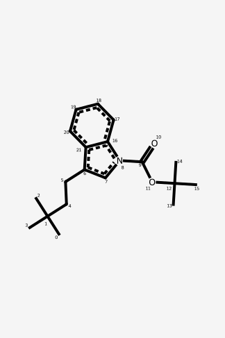 CC(C)(C)CCc1cn(C(=O)OC(C)(C)C)c2ccccc12